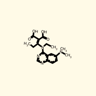 CCC(=C(C(=O)O)C(=O)O)N(CC)c1ncnc2ccc(N(C)C)cc12